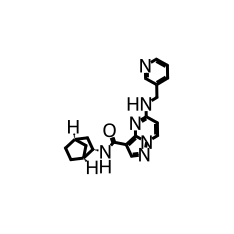 O=C(N[C@H]1C[C@@H]2CC[C@H]1C2)c1cnn2ccc(NCc3cccnc3)nc12